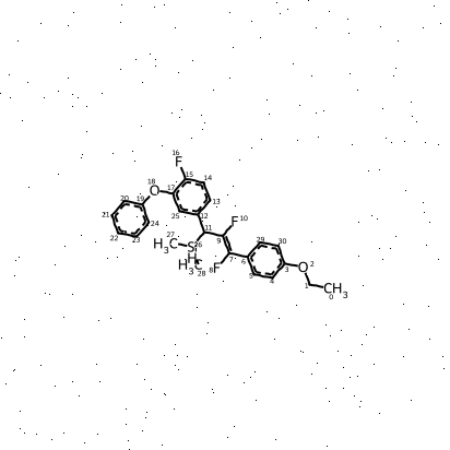 CCOc1ccc(C(F)=C(F)C(c2ccc(F)c(Oc3ccccc3)c2)[SiH](C)C)cc1